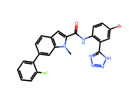 Cn1c(C(=O)Nc2ccc(Br)cc2-c2nnn[nH]2)cc2ccc(-c3ccccc3F)cc21